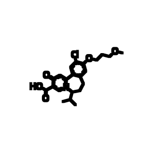 COCCCOc1cc2c(cc1Cl)-c1cc(=O)c(C(=O)O)cn1C(C(C)C)CC2